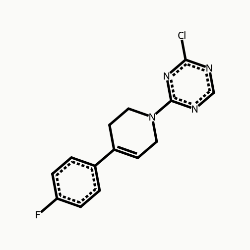 Fc1ccc(C2=CCN(c3ncnc(Cl)n3)CC2)cc1